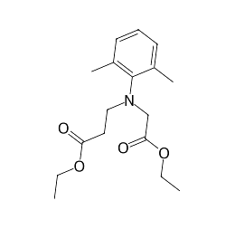 CCOC(=O)CCN(CC(=O)OCC)c1c(C)cccc1C